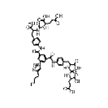 O=C(O)CCC(NC(=O)NC(Cc1ccc(NC(=O)c2cc(C(=O)Nc3ccc(CC(NC(=O)NC(CCC(=O)O)C(=O)O)C(=O)O)cc3)cc(-n3cc(CCCF)nn3)c2)cc1)C(=O)O)C(=O)O